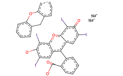 O=C([O-])c1ccccc1-c1c2cc(I)c(=O)c(I)c-2oc2c(I)c([O-])c(I)cc12.[Na+].[Na+].c1ccc2c(c1)Cc1ccccc1O2